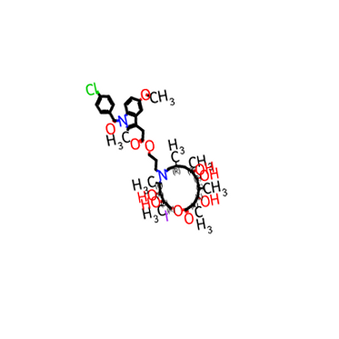 COc1ccc2c(c1)c(CC(=O)OCCCN1C[C@H](C)C[C@@](C)(O)[C@H](O)[C@@H](C)[C@H](O)[C@@H](C)C(=O)O[C@H](I)[C@@](C)(O)[C@H](O)[C@H]1C)c(C)n2C(=O)c1ccc(Cl)cc1